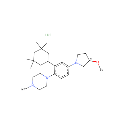 CCCN1CCN(c2ccc(N3CC[C@@H](OCC)C3)cc2C2CC(C)(C)CC(C)(C)C2)CC1.Cl